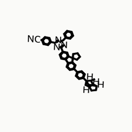 C[C@H]1[C@@H]2[C@@H]3CC[C@H]2CC1(c1ccc(-c2ccc4c(c2)C2(CCCC2)c2cc(-c5nc(-c6ccccc6)nc(-c6ccc(C#N)cc6)n5)ccc2-4)cc1)C3